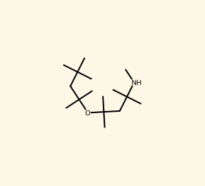 CNC(C)(C)CC(C)(C)OC(C)(C)CC(C)(C)C